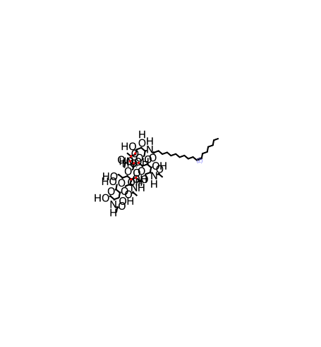 CCCCCC/C=C\CCCCCCCCCC(=O)NC1C(OC2C(CO)OC(O[C@@H](C)C(CO)OC(OC3C(CO)OC(OC4C(CO)OC(O)C(NC(C)=O)C4O)C(NC(C)=O)C3O)[C@H](O)NC(C)=O)C(NC(C)=O)C2O)OC(COC(C)=O)C(O)C1O